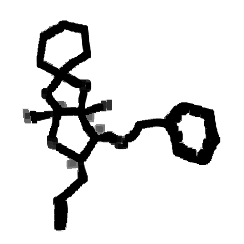 C=CC[C@H]1O[C@@H]2OC3(CCCCC3)O[C@@H]2[C@H]1OCc1ccccc1